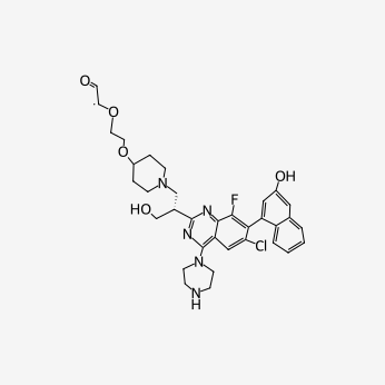 O=C[CH]OCCOC1CCN(C[C@@H](CO)c2nc(N3CCNCC3)c3cc(Cl)c(-c4cc(O)cc5ccccc45)c(F)c3n2)CC1